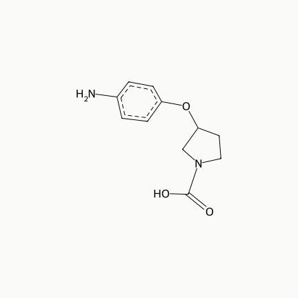 Nc1ccc(OC2CCN(C(=O)O)C2)cc1